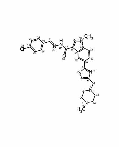 CN1CCN(Cc2csc(-c3ccc4c(c3)c(C(=O)N/N=C/c3ccc(Cl)cc3)cn4C)n2)CC1